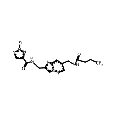 CCn1ncc(C(=O)NCc2cn3ncc(CNC(=O)CCC(F)(F)F)cc3n2)n1